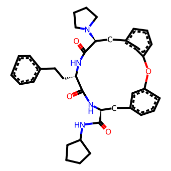 O=C(NC1CCCC1)[C@@H]1Cc2cccc(c2)Oc2cccc(c2)C[C@H](N2CCCC2)C(=O)N[C@@H](CCc2ccccc2)C(=O)N1